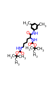 Cc1cc(C)cc(NC(=O)C(CCCCNC(=O)OC(C)(C)C)NC(=O)OC(C)(C)C)c1